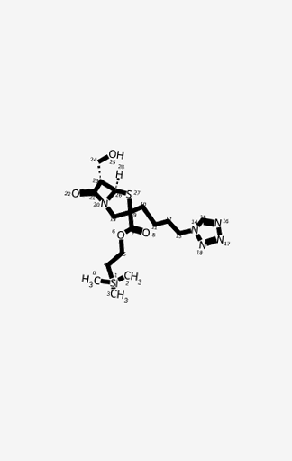 C[Si](C)(C)CCOC(=O)C1(CCCCn2cnnn2)CN2C(=O)[C@H](CO)[C@H]2S1